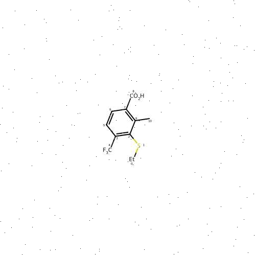 CCSc1c(C(F)(F)F)ccc(C(=O)O)c1C